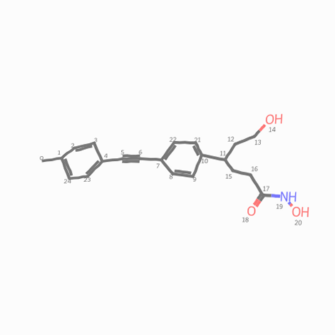 Cc1ccc(C#Cc2ccc(C(CCO)CCC(=O)NO)cc2)cc1